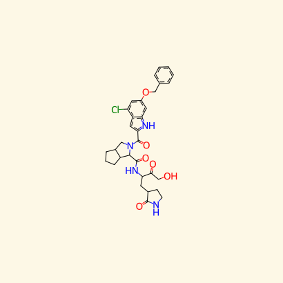 O=C1NCCC1CC(NC(=O)C1C2CCCC2CN1C(=O)c1cc2c(Cl)cc(OCc3ccccc3)cc2[nH]1)C(=O)CO